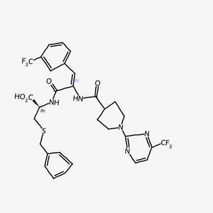 O=C(N[C@@H](CSCc1ccccc1)C(=O)O)/C(=C\c1cccc(C(F)(F)F)c1)NC(=O)C1CCN(c2nccc(C(F)(F)F)n2)CC1